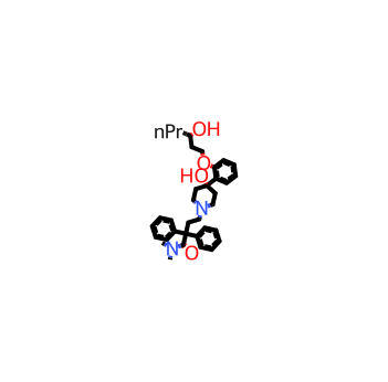 CCCC(O)CCOc1ccccc1C1(O)CCN(CCC(C(=O)N(C)C)(c2ccccc2)c2ccccc2)CC1